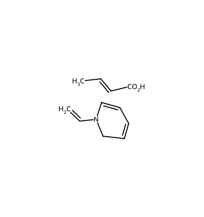 C=CN1C=CC=CC1.CC=CC(=O)O